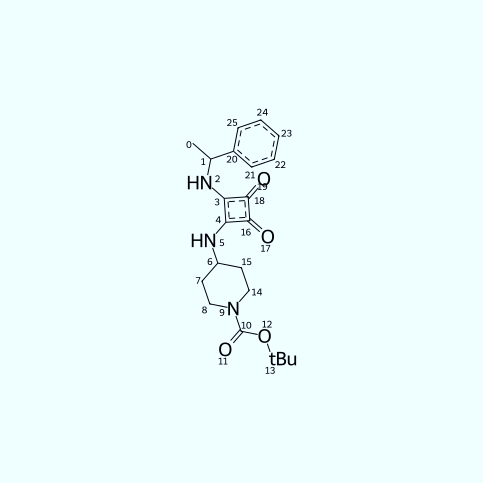 CC(Nc1c(NC2CCN(C(=O)OC(C)(C)C)CC2)c(=O)c1=O)c1ccccc1